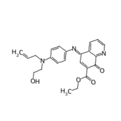 C=CCN(CCO)c1ccc(N=C2C=C(C(=O)OCC)C(=O)c3ncccc32)cc1